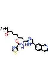 CNC(=O)CCCCC[C@H](NC(=O)c1cscn1)c1ncc(-c2ccc3ccncc3c2)[nH]1